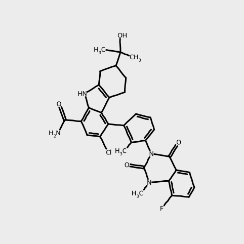 Cc1c(-c2c(Cl)cc(C(N)=O)c3[nH]c4c(c23)CCC(C(C)(C)O)C4)cccc1-n1c(=O)c2cccc(F)c2n(C)c1=O